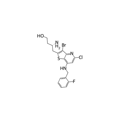 N[C@@H](CCO)Cc1sc2c(NCc3ccccc3F)cc(Cl)nc2c1Br